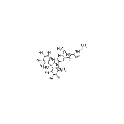 [2H]c1c([2H])c([2H])c(C(O)(c2c([2H])c([2H])c([2H])c([2H])c2[2H])c2nc3nc(OC)c(C(=O)Nc4ncn(CC)n4)cc3n2CC)c([2H])c1[2H]